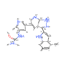 [C-]#[N+]c1cccc2[nH]c(-c3n[nH]c4ncc(-c5cncc(NC(=O)N(C)C)c5)cc34)cc12